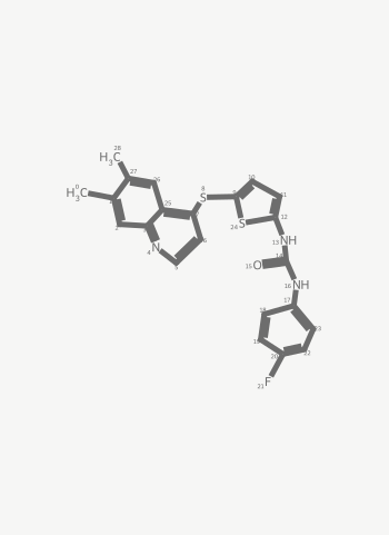 Cc1cc2nccc(Sc3ccc(NC(=O)Nc4ccc(F)cc4)s3)c2cc1C